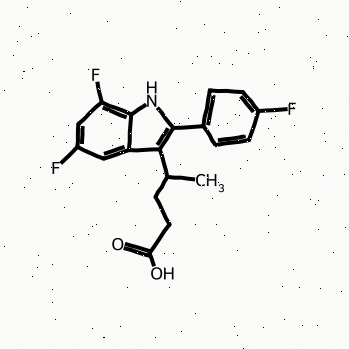 CC(CCC(=O)O)c1c(-c2ccc(F)cc2)[nH]c2c(F)cc(F)cc12